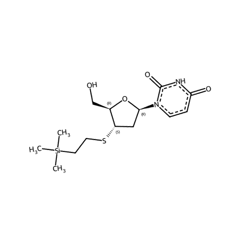 C[Si](C)(C)CCS[C@H]1C[C@H](n2ccc(=O)[nH]c2=O)O[C@@H]1CO